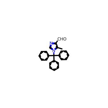 Cc1c(C=O)ncn1C(c1ccccc1)(c1ccccc1)c1ccccc1